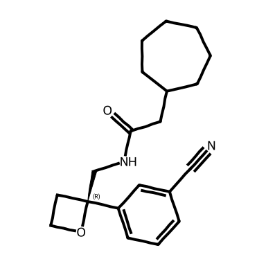 N#Cc1cccc([C@@]2(CNC(=O)CC3CCCCCC3)CCO2)c1